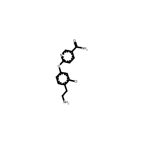 NCCc1ccc(Oc2ccc(C(N)=O)cn2)cc1Cl